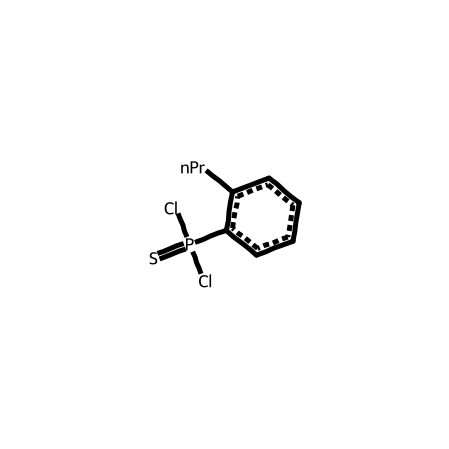 CCCc1ccccc1P(=S)(Cl)Cl